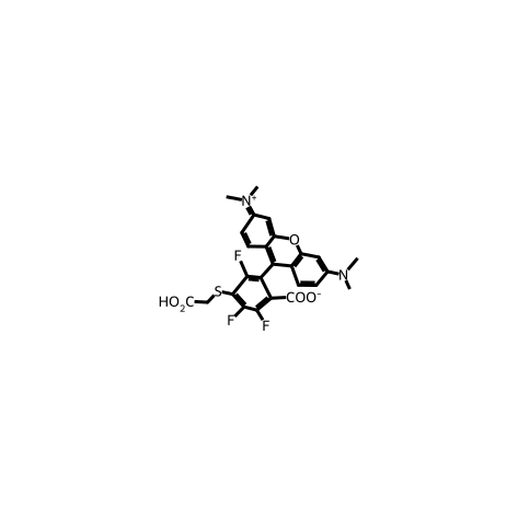 CN(C)c1ccc2c(-c3c(F)c(SCC(=O)O)c(F)c(F)c3C(=O)[O-])c3ccc(=[N+](C)C)cc-3oc2c1